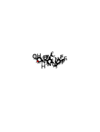 CC(C)Nc1cc(-n2ccc3cc(C(F)(F)F)cnc32)ncc1C(=O)N[C@H]1CC[C@H](CO)CC1